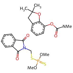 CNC(=O)Oc1cccc2c1OC(C)(C)C2.COP(=S)(OC)SCN1C(=O)c2ccccc2C1=O